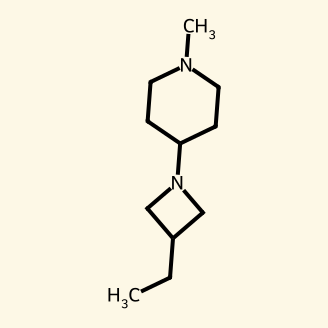 CCC1CN(C2CCN(C)CC2)C1